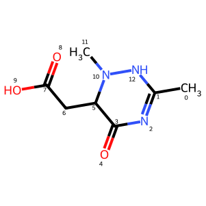 CC1=NC(=O)C(CC(=O)O)N(C)N1